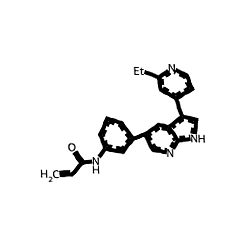 C=CC(=O)Nc1cccc(-c2cnc3[nH]cc(-c4ccnc(CC)c4)c3c2)c1